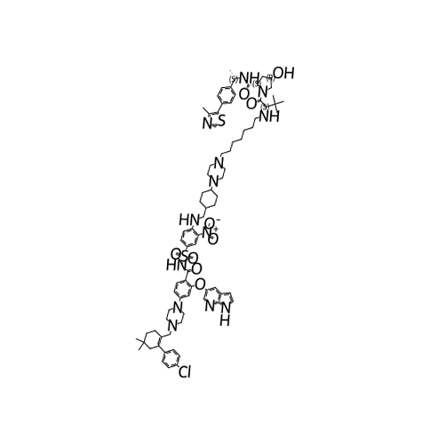 Cc1ncsc1-c1ccc([C@H](C)NC(=O)[C@@H]2C[C@@H](O)CN2C(=O)[C@@H](NCCCCCCCN2CCN(C3CCC(CNc4ccc(S(=O)(=O)NC(=O)c5ccc(N6CCN(CC7=C(c8ccc(Cl)cc8)CC(C)(C)CC7)CC6)cc5Oc5cnc6[nH]ccc6c5)cc4[N+](=O)[O-])CC3)CC2)C(C)(C)C)cc1